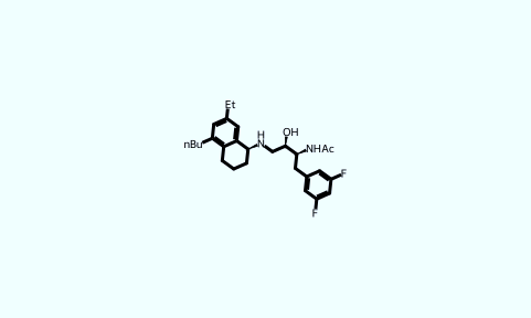 CCCCc1cc(CC)cc2c1CCC[C@@H]2NC[C@@H](O)[C@H](Cc1cc(F)cc(F)c1)NC(C)=O